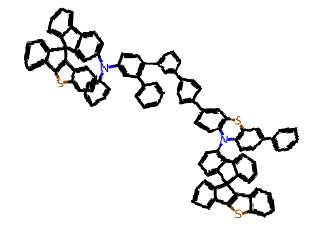 c1ccc(-c2ccc3c(c2)Sc2cc(-c4ccc(-c5cccc(-c6ccc(N(c7ccccc7)c7ccc8c(c7)C7(c9ccccc9-8)c8ccccc8-c8sc9ccccc9c87)cc6-c6ccccc6)c5)cc4)ccc2N3c2cccc3c2-c2ccccc2C32c3ccccc3-c3sc4ccccc4c32)cc1